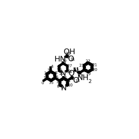 Cc1cc(C)cc(-c2cncc(C(=O)O/N=C(\N)c3ccccc3)c2N2CCC(NC(=O)O)CC2)c1